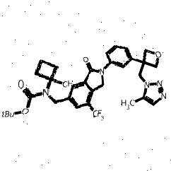 Cc1cnnn1CC1(c2cccc(N3Cc4c(cc(CN(C(=O)OC(C)(C)C)C5(C)CCC5)cc4C(F)(F)F)C3=O)c2)COC1